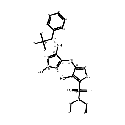 CCN(CC)S(=O)(=O)c1scc(Nc2n[s+]([O-])nc2N[C@@H](c2ccccc2)C(C)(C)C)c1O